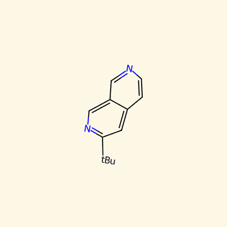 CC(C)(C)c1cc2ccncc2cn1